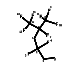 CCC(F)(F)CC(F)(C(F)(F)F)C(F)(F)F